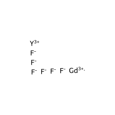 [F-].[F-].[F-].[F-].[F-].[F-].[Gd+3].[Y+3]